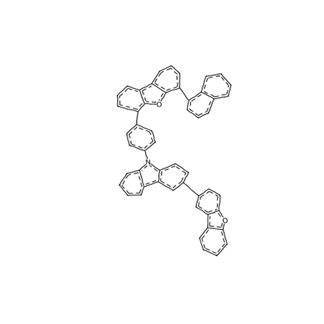 c1ccc2c(-c3cccc4c3oc3c(-c5ccc(-n6c7ccccc7c7cc(-c8ccc9oc%10ccccc%10c9c8)ccc76)cc5)cccc34)cccc2c1